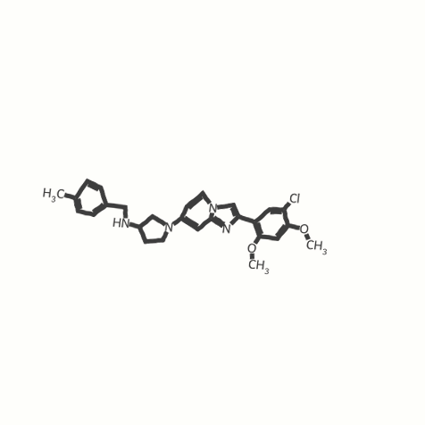 COc1cc(OC)c(-c2cn3ccc(N4CCC(NCc5ccc(C)cc5)C4)cc3n2)cc1Cl